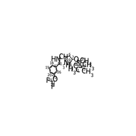 CN[C@H](CN1CCC(O[Si](C)(C)C(C)(C)C)C1)c1cccc(OC(F)F)c1